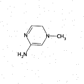 CN1C=C(N)N=CC1